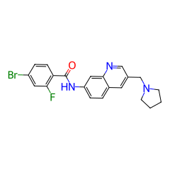 O=C(Nc1ccc2cc(CN3CCCC3)cnc2c1)c1ccc(Br)cc1F